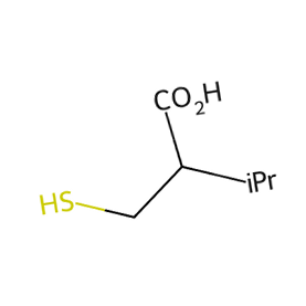 CC(C)C(CS)C(=O)O